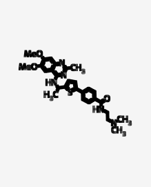 COc1cc2nc(C)nc(NC(C)c3ccc(-c4ccc(C(=O)NCCN(C)C)cc4)s3)c2cc1OC